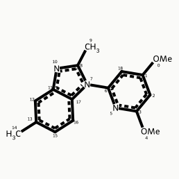 COc1cc(OC)nc(-n2c(C)nc3cc(C)ccc32)c1